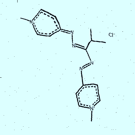 CC(C)C(N=Nc1cc[n+](C)cc1)=NN=c1ccn(C)cc1.[Cl-]